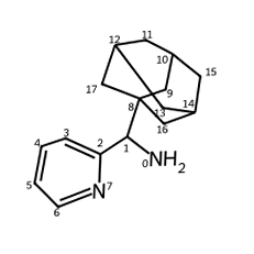 NC(c1ccccn1)C12CC3CC(CC(C3)C1)C2